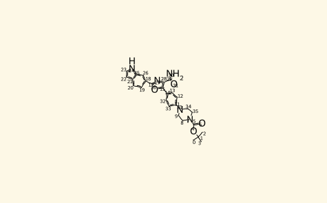 CC(C)(C)OC(=O)N1CCN(c2ccc(-c3oc(-c4ccc5cc[nH]c5c4)nc3C(N)=O)cc2)CC1